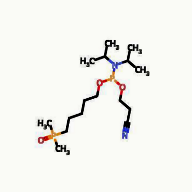 CC(C)N(C(C)C)P(OCCC#N)OCCCCCP(C)(C)=O